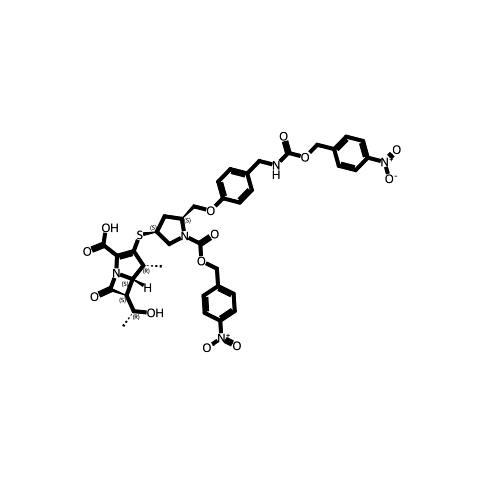 C[C@@H](O)[C@H]1C(=O)N2C(C(=O)O)=C(S[C@H]3C[C@@H](COc4ccc(CNC(=O)OCc5ccc([N+](=O)[O-])cc5)cc4)N(C(=O)OCc4ccc([N+](=O)[O-])cc4)C3)[C@H](C)[C@H]12